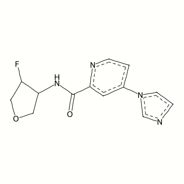 O=C(NC1COCC1F)c1cc(-n2ccnc2)ccn1